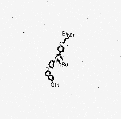 CCCCc1nc(-c2ccc(OCCCN(CC)CC)cc2)cn1-c1ccc(Oc2ccc3cc(O)ccc3c2)cc1